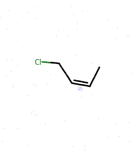 C/C=C\CCl